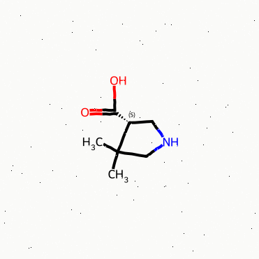 CC1(C)CNC[C@H]1C(=O)O